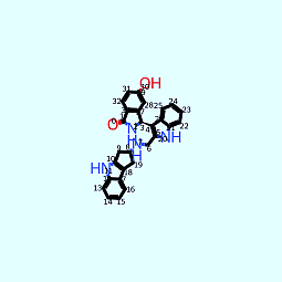 O=C1N[C@H](c2c(CNC3Cc4[nH]c5ccccc5c4C3)[nH]c3ccccc23)c2cc(O)ccc21